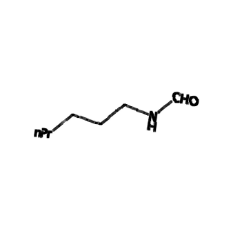 CCCCCCNC=O